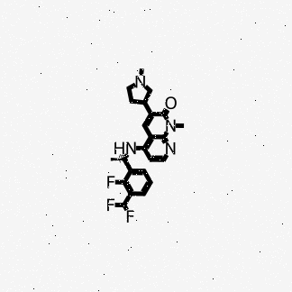 C[C@@H](Nc1ccnc2c1cc(C1CCN(C)C1)c(=O)n2C)c1cccc(C(F)F)c1F